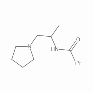 CC(CN1CCCC1)NC(=O)C(C)C